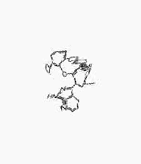 Cc1cc(-c2n[nH]c3ncccc23)c(Oc2c(Cl)cccc2Cl)c(Cl)n1